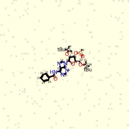 CS(=O)O[C@H]1[C@@H](O[Si](C)(C)C(C)(C)C)[C@H](n2cnc3c(NC(=O)c4ccccc4)ncnc32)O[C@@H]1CO[Si](C)(C)C(C)(C)C